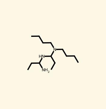 CCCCN(CCCC)C(CC)NC(N)CC